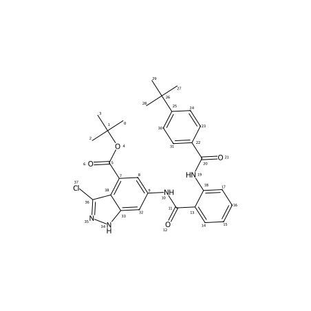 CC(C)(C)OC(=O)c1cc(NC(=O)c2ccccc2NC(=O)c2ccc(C(C)(C)C)cc2)cc2[nH]nc(Cl)c12